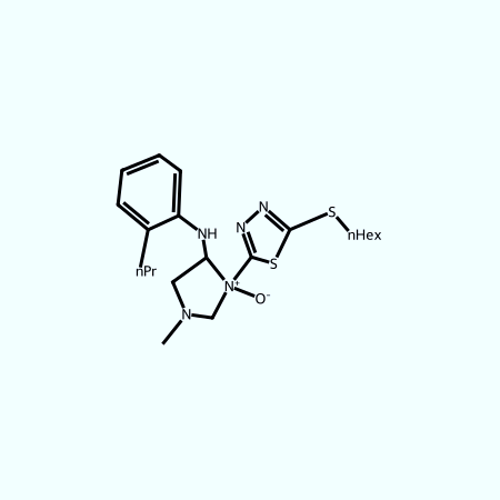 CCCCCCSc1nnc([N+]2([O-])CN(C)CC2Nc2ccccc2CCC)s1